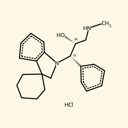 CNC[C@@H](O)[C@H](c1ccccc1)N1CC2(CCCCC2)c2ccccc21.Cl